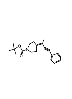 CC(C#Cc1ccccc1)=C1CCN(C(=O)OC(C)(C)C)CC1